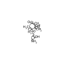 C=C[C@]1(C)C[C@@H](OC(=O)CS[C@H]2CC[C@H](N)C[C@@H]2O)[C@H](C)C(C)CC23C[C@@]2(CCC3=O)[C@@H](C)[C@@H]1O